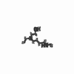 CCN(CCO)CCCCNC